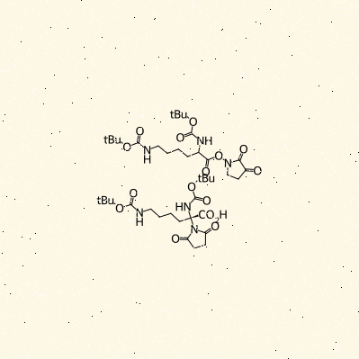 CC(C)(C)OC(=O)NCCCCC(NC(=O)OC(C)(C)C)C(=O)ON1CCC(=O)C1=O.CC(C)(C)OC(=O)NCCCC[C@@](NC(=O)OC(C)(C)C)(C(=O)O)N1C(=O)CCC1=O